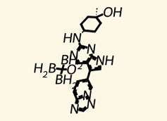 BC(B)(B)Oc1nc(N[C@H]2CC[C@](C)(O)CC2)nc2[nH]cc(-c3ccc4ncnn4c3)c12